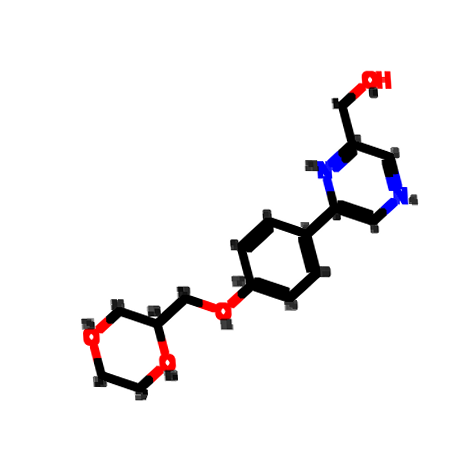 OCc1cncc(-c2ccc(OCC3COCCO3)cc2)n1